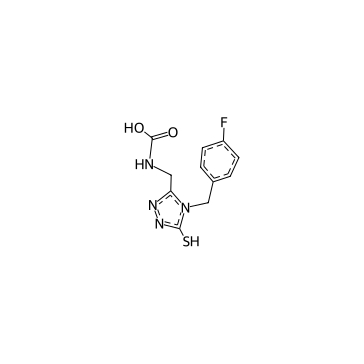 O=C(O)NCc1nnc(S)n1Cc1ccc(F)cc1